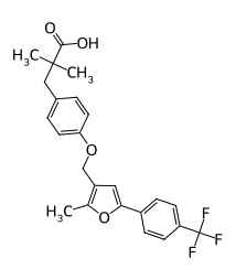 Cc1oc(-c2ccc(C(F)(F)F)cc2)cc1COc1ccc(CC(C)(C)C(=O)O)cc1